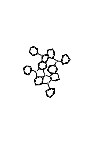 C1=CC2=C(CC1)B1c3cc4c5c(N(c6ccccc6)c6ccccc6)cccc5n(-c5ccccc5)c4cc3N(c3ccccc3)c3cccc(c31)N2c1ccccc1